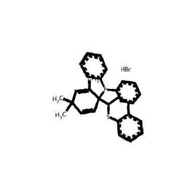 Br.CC1=CC(C)(C)C=CC1(C1CCc2ccccc2S1)P(c1ccccc1)c1ccccc1